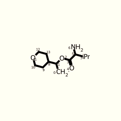 [CH2]C(OC(=O)C(N)C(C)C)C1CCOCC1